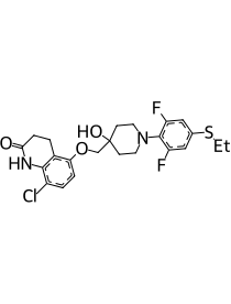 CCSc1cc(F)c(N2CCC(O)(COc3ccc(Cl)c4c3CCC(=O)N4)CC2)c(F)c1